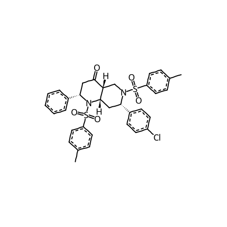 Cc1ccc(S(=O)(=O)N2C[C@H]3C(=O)C[C@@H](c4ccccc4)N(S(=O)(=O)c4ccc(C)cc4)[C@H]3C[C@H]2c2ccc(Cl)cc2)cc1